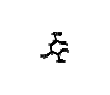 CC(=O)O[C@H](C)[C@@H](C)/C=C(\C)C=O